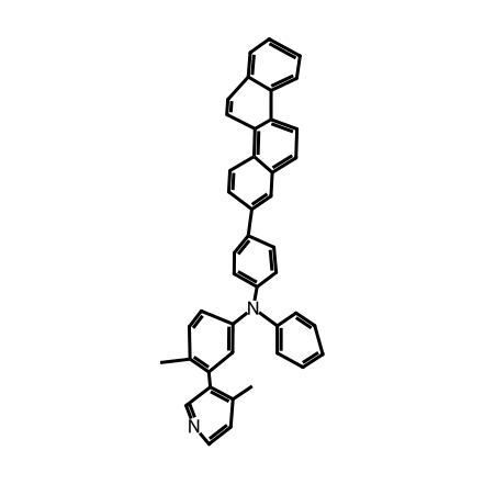 Cc1ccncc1-c1cc(N(c2ccccc2)c2ccc(-c3ccc4c(ccc5c6ccccc6ccc45)c3)cc2)ccc1C